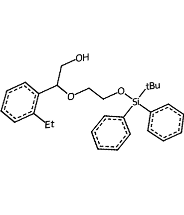 CCc1ccccc1C(CO)OCCO[Si](c1ccccc1)(c1ccccc1)C(C)(C)C